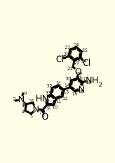 CN(C)[C@@H]1CCN(C(=O)c2cc3cc(-c4cnc(N)c(OCc5c(Cl)cccc5Cl)c4)ccc3[nH]2)C1